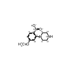 COc1ccc([N+](=O)[O-])c(N2CCNCC2)c1